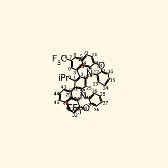 CC(C)c1c(-c2cccc(C(F)(F)F)c2)c(N2c3ccccc3Oc3ccccc32)cc(N2c3ccccc3Oc3ccccc32)c1-c1cccc(C(F)(F)F)c1